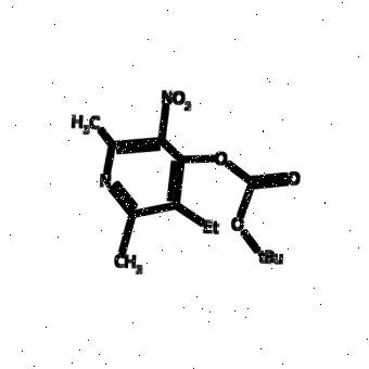 CCc1c(C)nc(C)c([N+](=O)[O-])c1OC(=O)OC(C)(C)C